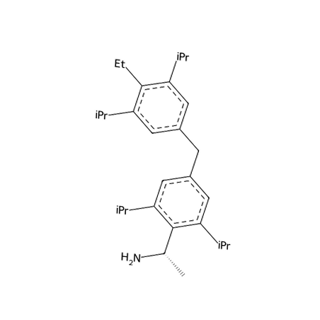 CCc1c(C(C)C)cc(Cc2cc(C(C)C)c([C@H](C)N)c(C(C)C)c2)cc1C(C)C